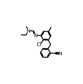 CCN(C)C=Nc1cc(C)cc(Cc2ccccc2C#N)c1Cl